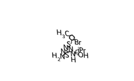 Cc1ccc(Br)c(CSc2nc(N[C@@H](CO)CC(C)C)c3sc(N)nc3n2)c1